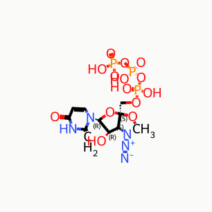 C=C1NC(=O)C=CN1[C@@H]1O[C@@](COP(=O)(O)OP(=O)(O)OP(=O)(O)O)(OC)[C@@H](N=[N+]=[N-])[C@H]1O